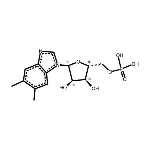 Cc1cc2ncn([C@H]3O[C@H](COP(=O)(O)O)[C@@H](O)[C@H]3O)c2cc1C